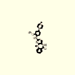 CC(C)Oc1cc(N2CCN(C)CC2)ccc1Nc1ncc2c(n1)N(C)c1ccccc1C(=O)N2